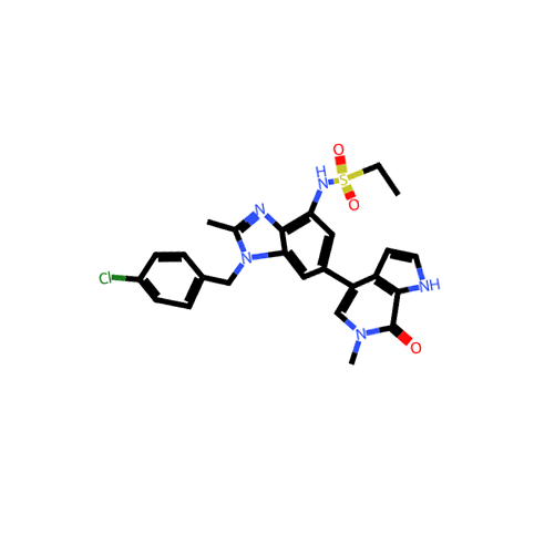 CCS(=O)(=O)Nc1cc(-c2cn(C)c(=O)c3[nH]ccc23)cc2c1nc(C)n2Cc1ccc(Cl)cc1